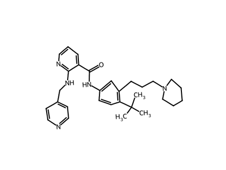 CC(C)(C)c1ccc(NC(=O)c2cccnc2NCc2ccncc2)cc1CCCN1CCCCC1